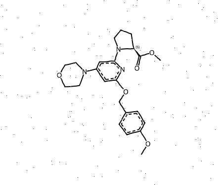 COC(=O)[C@@H]1CCCN1c1cc(N2CCOCC2)cc(OCc2ccc(OC)cc2)n1